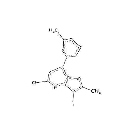 Cc1cccc(-c2cc(Cl)nc3c(I)c(C)nn23)c1